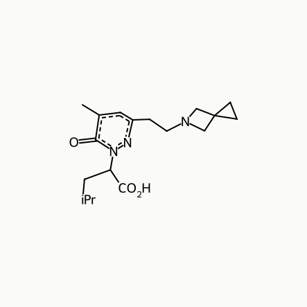 Cc1cc(CCN2CC3(CC3)C2)nn(C(CC(C)C)C(=O)O)c1=O